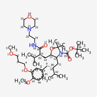 COCCCOc1cc(C[C@H](CC2C(C[C@H](C(=O)NCCN3CCOCC3)C(C)C)OC(C)(C)N2C(=O)OC(C)(C)C)C(C)C)ccc1OC